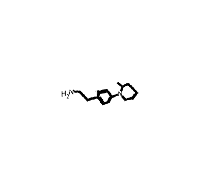 CC1CCCCN1c1c[c]c(CCN)cc1